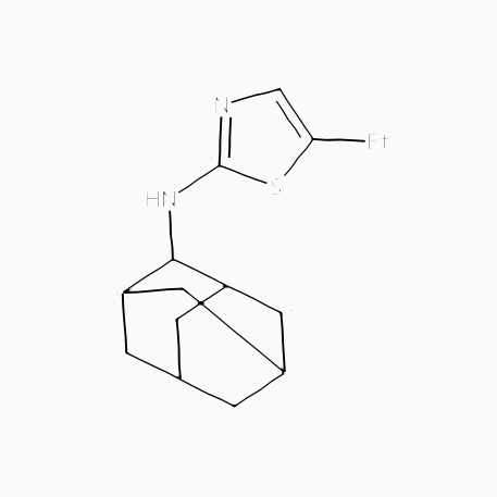 CCc1cnc(NC2C3CC4CC(C3)CC2C4)s1